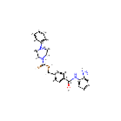 Nc1ccccc1NC(=O)c1ccc(CSC(=S)N2CCN(c3ccccc3)CC2)cc1